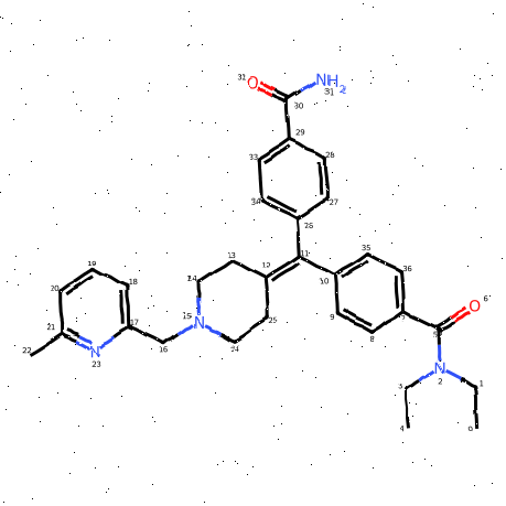 CCN(CC)C(=O)c1ccc(C(=C2CCN(Cc3cccc(C)n3)CC2)c2ccc(C(N)=O)cc2)cc1